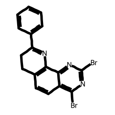 Brc1nc(Br)c2ccc3c(c2n1)N=C(c1ccccc1)CC3